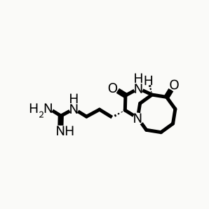 N=C(N)NCCC[C@@H]1C(=O)N[C@@H]2CN1CCCCC2=O